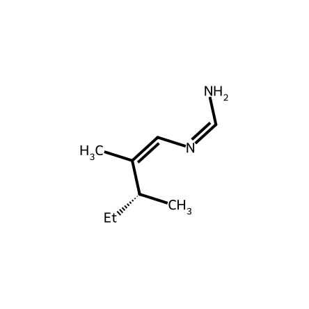 CC[C@@H](C)/C(C)=C\N=C/N